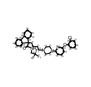 O=C(NCC(F)(F)F)C1(CCCCN2CCN(c3cccc(Oc4ccccc4Cl)n3)CC2)c2ccccc2-c2ccccc21